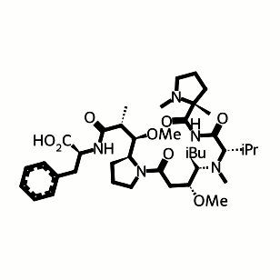 CC[C@H](C)[C@@H]([C@@H](CC(=O)N1CCC[C@H]1[C@H](OC)[C@@H](C)C(=O)N[C@@H](Cc1ccccc1)C(=O)O)OC)N(C)[C@H](C(=O)NC(=O)[C@@]1(C)CCCN1C)C(C)C